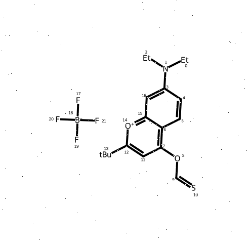 CCN(CC)c1ccc2c(OC=S)cc(C(C)(C)C)[o+]c2c1.F[B-](F)(F)F